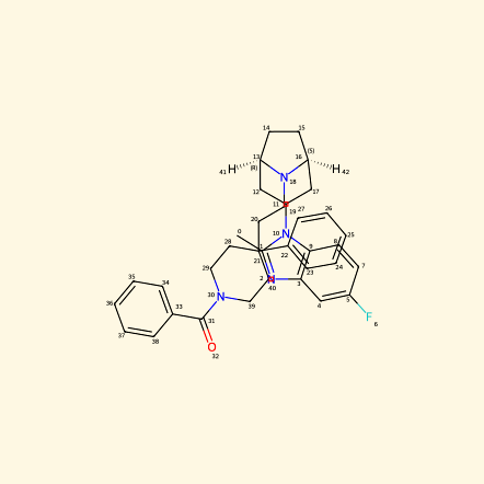 Cc1nc2cc(F)ccc2n1C1C[C@H]2CC[C@@H](C1)N2CCC1(c2ccccc2)CCN(C(=O)c2ccccc2)CC1